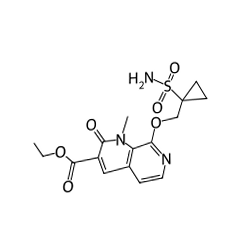 CCOC(=O)c1cc2ccnc(OCC3(S(N)(=O)=O)CC3)c2n(C)c1=O